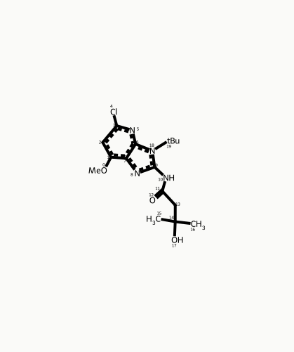 COc1cc(Cl)nc2c1nc(NC(=O)CC(C)(C)O)n2C(C)(C)C